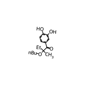 CCCCOC(C)(CC)C(=O)c1ccc(O)c(O)c1